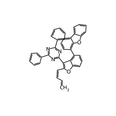 C=C/C=C\c1oc2cccc(-c3cccc4c3oc3ccccc34)c2c1-c1nc(-c2ccccc2)nc(-c2ccccc2)n1